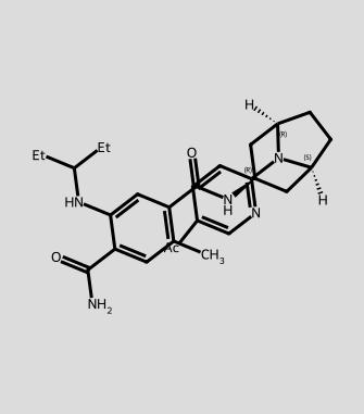 CCC(CC)Nc1cc(C(=O)N[C@H]2C[C@H]3CC[C@@H](C2)N3c2ccc(C(C)=O)cn2)c(C)cc1C(N)=O